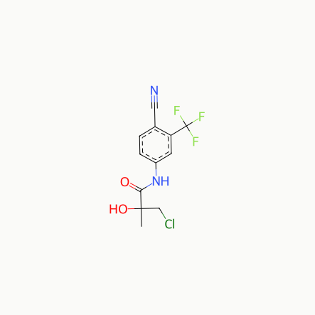 CC(O)(CCl)C(=O)Nc1ccc(C#N)c(C(F)(F)F)c1